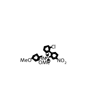 COc1ccc(CNS(=O)(=O)c2cc([N+](=O)[O-])ccc2-c2ccccc2Cl)c(OC)c1